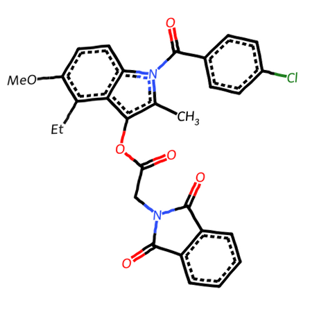 CCc1c(OC)ccc2c1c(OC(=O)CN1C(=O)c3ccccc3C1=O)c(C)n2C(=O)c1ccc(Cl)cc1